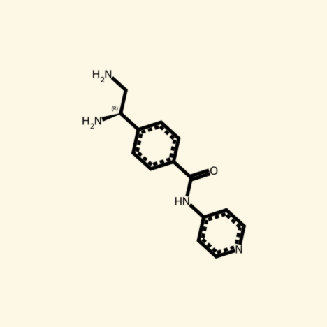 NC[C@H](N)c1ccc(C(=O)Nc2ccncc2)cc1